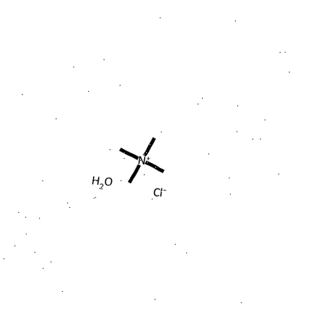 C[N+](C)(C)C.O.[Cl-]